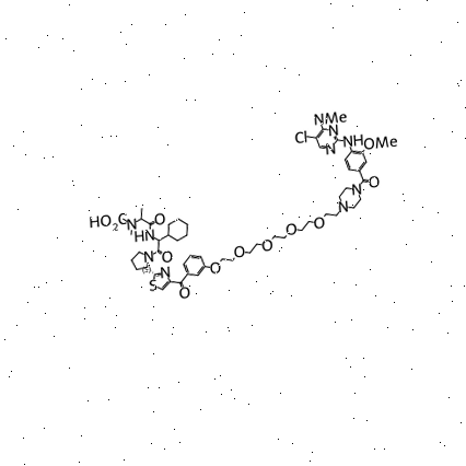 CNc1nc(Nc2ccc(C(=O)N3CCN(CCOCCOCCOCCOCCOc4cccc(C(=O)c5csc([C@@H]6CCCN6C(=O)C(NC(=O)C(C)N(C)C(=O)O)C6CCCCC6)n5)c4)CC3)cc2OC)ncc1Cl